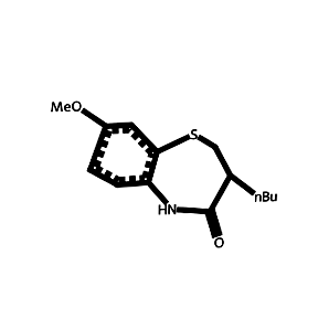 CCCCC1CSc2cc(OC)ccc2NC1=O